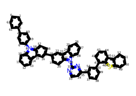 c1ccc(-c2ccc(-n3c4ccccc4c4cc(-c5ccc6c(c5)c5ccccc5n6-c5nccc(-c6cccc(-c7cccc8c7sc7ccccc78)c6)n5)ccc43)cc2)cc1